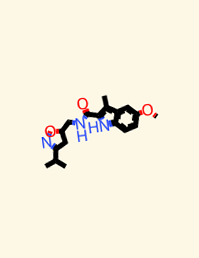 COc1ccc2[nH]c(C(=O)NCC3CC(C(C)C)=NO3)c(C)c2c1